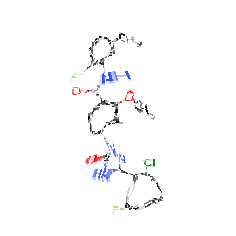 COc1cc(-n2nc(-c3c(F)cccc3Cl)[nH]c2=O)ccc1C(=O)Nc1cc(C)ccc1F